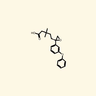 CC(C)(CCC1(c2cccc(Oc3ccccc3)c2)CO1)CC(=O)O